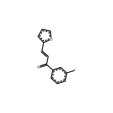 O=C(C=Cc1ccco1)c1cccc(F)c1